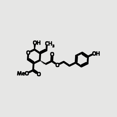 C/C=C1\[C@H](O)OC=C(C(=O)OC)[C@H]1CC(=O)OCCc1ccc(O)cc1